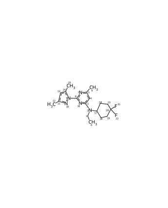 CCN(c1cc(C)nc(-n2nc(C)cc2C)n1)C1CCC(F)(F)CC1